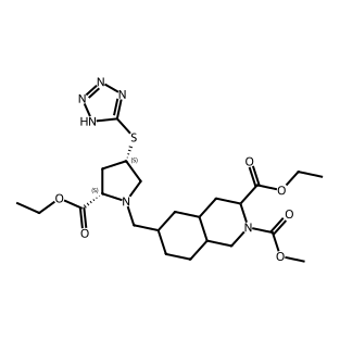 CCOC(=O)C1CC2CC(CN3C[C@@H](Sc4nnn[nH]4)C[C@H]3C(=O)OCC)CCC2CN1C(=O)OC